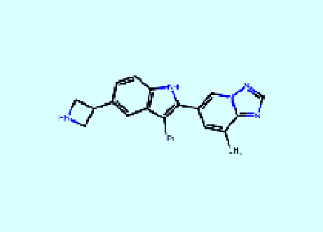 Cc1cc(-c2[nH]c3ccc(C4CNC4)cc3c2C(C)C)cn2ncnc12